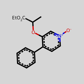 CCOC(=O)C(C)Oc1c[n+]([O-])ccc1-c1ccccc1